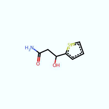 NC(=O)CC(O)c1cccs1